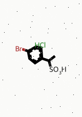 CC(c1ccc(Br)cc1)S(=O)(=O)O.Cl